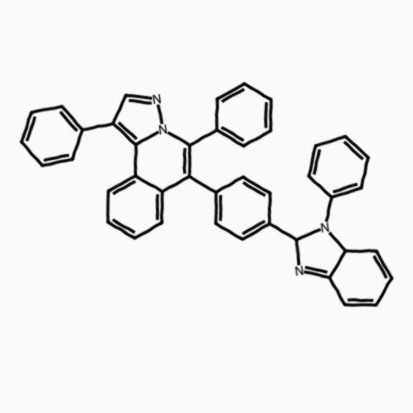 C1=CC2=NC(c3ccc(-c4c(-c5ccccc5)n5ncc(-c6ccccc6)c5c5ccccc45)cc3)N(c3ccccc3)C2C=C1